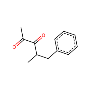 CC(=O)C(=O)C(C)Cc1ccccc1